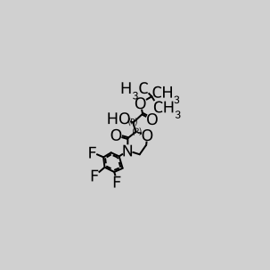 CC(C)(C)OC(=O)[C@H](O)[C@H]1OCCN(c2cc(F)c(F)c(F)c2)C1=O